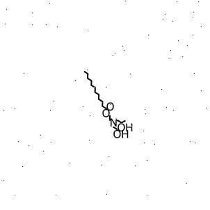 CCCCCCCCCCCC(=O)OCCN(CCO)CC(C)O